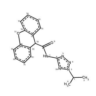 CC(C)n1nnc(NC(=O)C2c3ccccc3Oc3ccccc32)n1